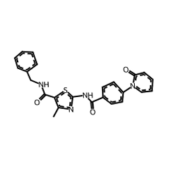 Cc1nc(NC(=O)c2ccc(-n3ccccc3=O)cc2)sc1C(=O)NCc1ccccc1